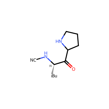 CCC(C)[C@H](NC#N)C(=O)C1CCCN1